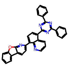 c1ccc(-c2nc(-c3ccccc3)nc(-c3ccc(-c4ccc5c(n4)oc4ccccc45)c4ncccc34)n2)cc1